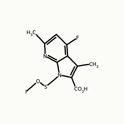 Cc1cc(F)c2c(C)c(C(=O)O)n(SOI)c2n1